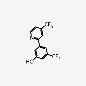 Oc1cc(-c2cc(C(F)(F)F)ccn2)cc(C(F)(F)F)c1